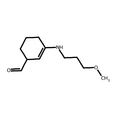 COCCCNC1=CC(C=O)CCC1